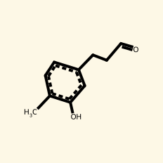 Cc1ccc(CCC=O)cc1O